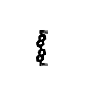 COc1ccc2[c]c(-c3[c]c4ccc(OC)cc4cc3)ccc2c1